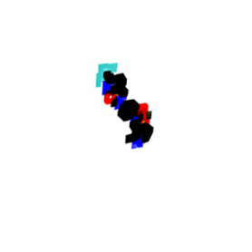 Cc1ncccc1CN(c1ccc(N(C=O)Cc2ccc(C(F)(F)F)nc2)cc1)S(C)(=O)=O